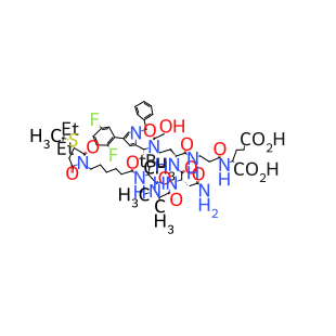 CCC(C)(CC)SC1CC(=O)N(CCCCCC(=O)N[C@@H](C)C(=O)N(C)[C@@H](C)C(=O)N[C@@H](CC(N)=O)C(=O)N[C@@H](CCN(C(=O)CO)[C@@H](c2cc(-c3cc(F)ccc3F)cn2Cc2ccccc2)C(C)(C)C)C(=O)NCCC(=O)N[C@H](CCC(=O)O)C(=O)O)C1=O